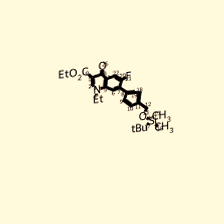 CCOC(=O)c1cn(CC)c2cc(-c3ccc(CO[Si](C)(C)C(C)(C)C)cc3)c(F)cc2c1=O